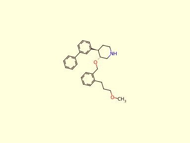 COCCCc1ccccc1CO[C@H]1CNCC[C@@H]1c1cccc(-c2ccccc2)c1